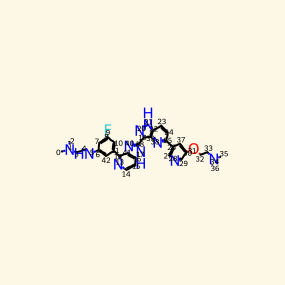 CN(C)CCNc1cc(F)cc(-c2nccc3[nH]c(-c4n[nH]c5ccc(-c6cncc(OCCN(C)C)c6)nc45)nc23)c1